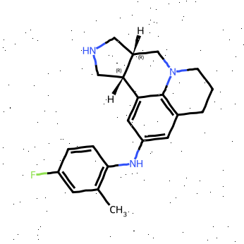 Cc1cc(F)ccc1Nc1cc2c3c(c1)[C@@H]1CNC[C@@H]1CN3CCC2